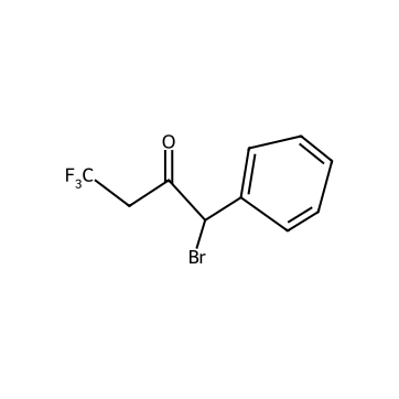 O=C(CC(F)(F)F)C(Br)c1ccccc1